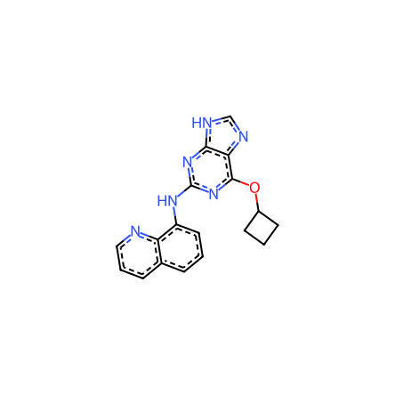 c1cnc2c(Nc3nc(OC4CCC4)c4nc[nH]c4n3)cccc2c1